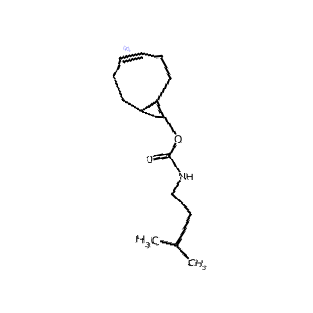 CC(C)CCNC(=O)OC1C2CC/C=C\CCC21